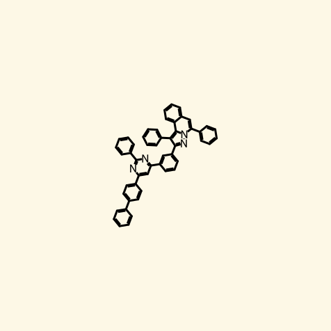 c1ccc(-c2ccc(-c3cc(-c4cccc(-c5nn6c(-c7ccccc7)cc7ccccc7c6c5-c5ccccc5)c4)nc(-c4ccccc4)n3)cc2)cc1